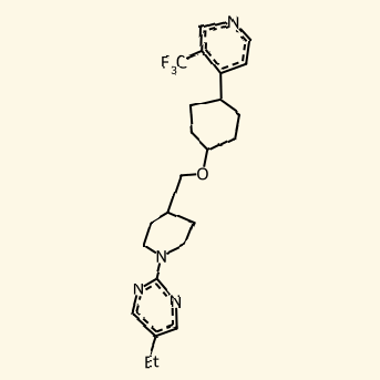 CCc1cnc(N2CCC(COC3CCC(c4ccncc4C(F)(F)F)CC3)CC2)nc1